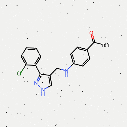 CCCC(=O)c1ccc(NCc2c[nH]nc2-c2ccccc2Cl)cc1